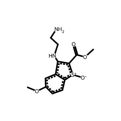 COC(=O)c1c(NCCN)c2cc(OC)ccc2[s+]1[O-]